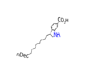 CCCCCCCCCCCCCCCCCC[C@@H]1CNc2cc(C(=O)O)ccc21